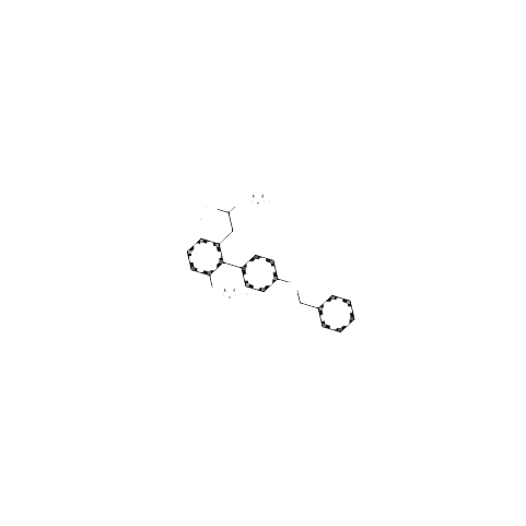 COc1cccc(CC(OC)C(=O)O)c1-c1ccc(OCc2ccccc2)cc1